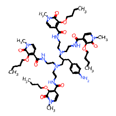 CCCCOc1c(C(=O)NCCN(CCNC(=O)c2ccn(C)c(=O)c2OCCCC)CC(Cc2ccc(N)cc2)CN(CCNC(=O)c2ccn(C)c(=O)c2OCCCC)CCNC(=O)c2ccn(C)c(=O)c2OCCCC)ccn(C)c1=O